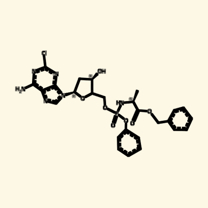 C[C@H](NP(=O)(OCC1O[C@@H](n2cnc3c(N)nc(Cl)nc32)C[C@H]1O)Oc1ccccc1)C(=O)OCc1ccccc1